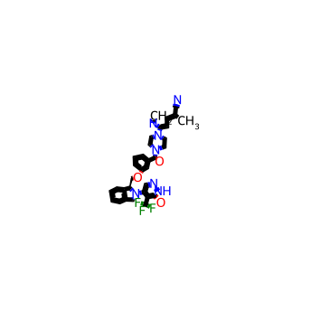 C=N/C(=C\C=C(/C)C#N)N1CCN(C(=O)c2cccc(OC[C@@H]3c4ccccc4CN3c3cn[nH]c(=O)c3C(F)(F)F)c2)CC1